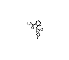 CC1CC(C(=O)Nc2ncccc2C(N)=O)C1